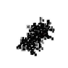 C/C=C/C[C@@H](C)[C@@H](O)[C@@H](C(=O)N[C@H](C(=O)OC)[C@@H](C)O)N(C)C(=O)[C@H](C(C)C)N(C)C(=O)[C@H](CC(C)C)NC(=O)[C@H](CC(C)C)N(C)C(=O)[C@@H](C)NC(=O)[C@H](C)NC(=O)[C@H](CC(C)C)N(C)C(=O)[C@H](CC(C)C)NC(=O)[C@H](CC(C)C)N(C)C(=O)CNC